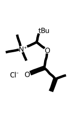 C=C(C)C(=O)OC(C(C)(C)C)[N+](C)(C)C.[Cl-]